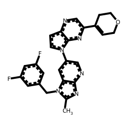 Cc1nc2ncc(-n3ccc4ncc(C5=CCOCC5)nc43)cc2n1Cc1cc(F)cc(F)c1